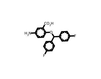 Nc1ccc(OC(c2ccc(F)cc2)c2ccc(F)cc2)c(C(=O)O)c1